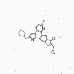 O=C1c2cc(-c3nc(F)ccc3-c3cnn(CC4CCCC4)c3)ccc2CN1CC1CC1